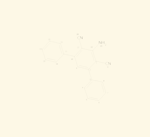 N#Cc1c(-c2ccccc2)cc(-c2ccccc2)c(C#N)c1N